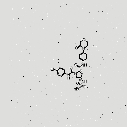 CCCCS(=O)(=O)N[C@@H]1C[C@H](C(=O)Nc2ccc(N3CCOCC3=O)cc2)N(C(=O)Nc2ccc(Cl)cc2)C1